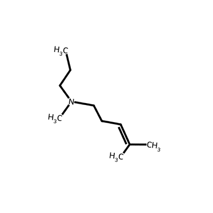 CCCN(C)CCC=C(C)C